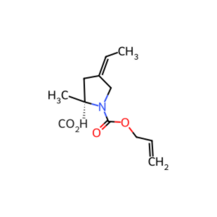 C=CCOC(=O)N1CC(=CC)C[C@@]1(C)C(=O)O